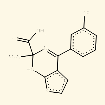 CNC1(C(N)=O)N=C(c2cccc(C(F)(F)F)c2)c2ccsc2N1